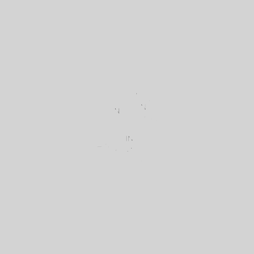 N#CC1C2CCC(C2)N1C(=O)CCNC12CC3CC(CC(O)(C3)C1)C2